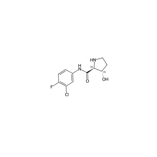 O=C(Nc1ccc(F)c(Cl)c1)[C@H]1NCC[C@@H]1O